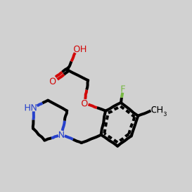 Cc1ccc(CN2CCNCC2)c(OCC(=O)O)c1F